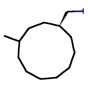 CC1CCCCCCC[C@@H](CI)CC1